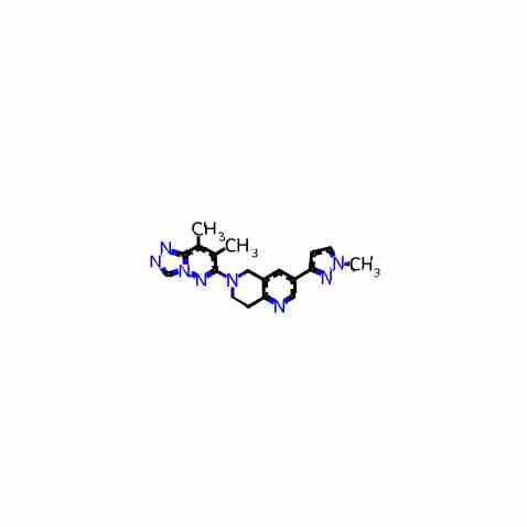 Cc1c(N2CCc3ncc(-c4ccn(C)n4)cc3C2)nn2cnnc2c1C